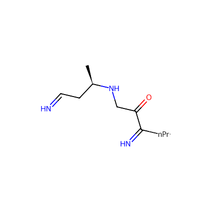 CC[CH]C(=N)C(=O)CN[C@H](C)CC=N